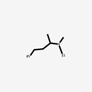 CCN(C)C(C)CCC(C)C